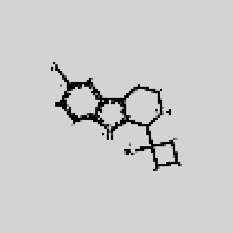 N#CC1(C2NCCc3c2[nH]c2ccc(Cl)cc32)CCC1